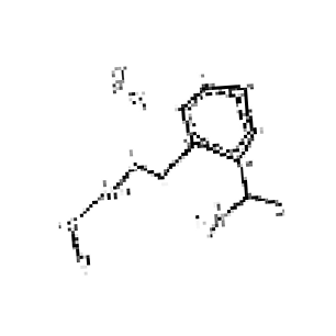 CC[O][Sn+2][S]Cc1ccccc1C(C)N.[Cl-].[Cl-]